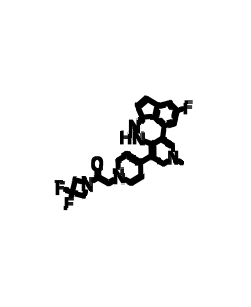 CN1C=C2C(=C(C3=CCN(CC(=O)N4CC(F)(F)C4)CC3)C1)NN=C1C=Cc3cc(F)cc2c31